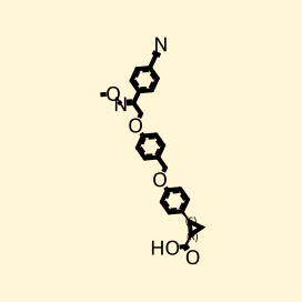 CON=C(COc1ccc(COc2ccc([C@H]3C[C@H]3C(=O)O)cc2)cc1)c1ccc(C#N)cc1